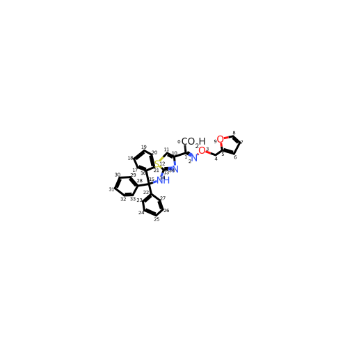 O=C(O)C(=NOCc1ccco1)c1csc(NC(c2ccccc2)(c2ccccc2)c2ccccc2)n1